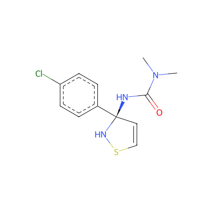 CN(C)C(=O)N[C@@]1(c2ccc(Cl)cc2)C=CSN1